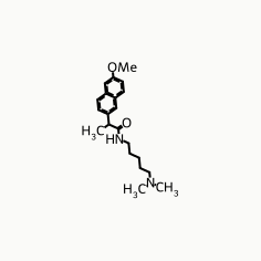 COc1ccc2cc(C(C)C(=O)NCCCCCN(C)C)ccc2c1